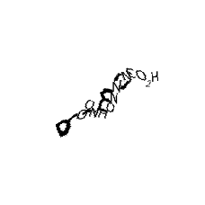 O=C(N[C@@H]1COc2nc(N3CCN(C(=O)O)CC3)ccc2C1)OCc1ccccc1